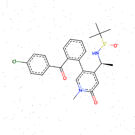 C[C@H](N[S@@+]([O-])C(C)(C)C)c1cc(=O)n(C)cc1-c1ccccc1C(=O)c1ccc(Cl)cc1